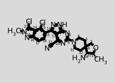 C[C@@H]1OCC2(CCN(c3nc(C#N)c4c(-c5ccc6nn(C)c(Cl)c6c5Cl)n[nH]c4n3)CC2)[C@@H]1N